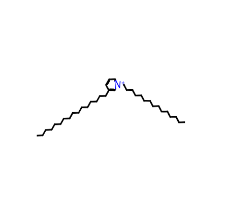 CCCCCCCCCCCCCCCCc1ccc[n+](CCCCCCCCCCCCCCC)c1